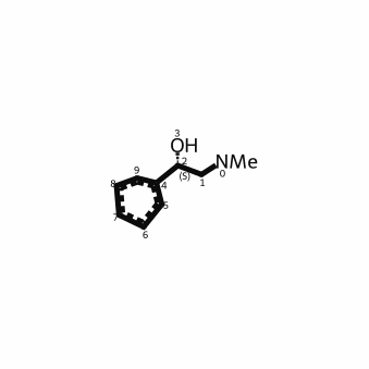 [CH2-][NH2+]C[C@@H](O)c1ccccc1